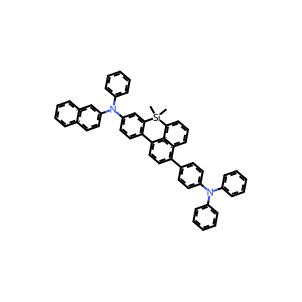 C[Si]1(C)c2cc(N(c3ccccc3)c3ccc4ccccc4c3)ccc2-c2ccc(-c3ccc(N(c4ccccc4)c4ccccc4)cc3)c3cccc1c23